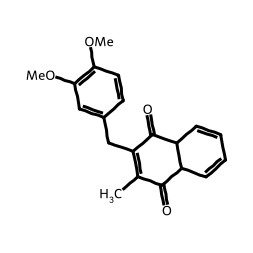 COc1ccc(CC2=C(C)C(=O)C3C=CC=CC3C2=O)cc1OC